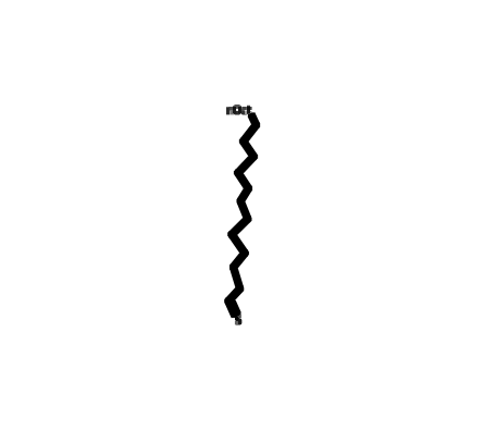 CCCCCCCCCCCCCCCCCCCC=S